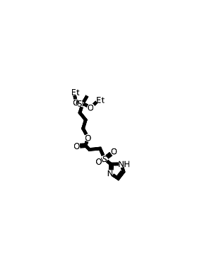 CCO[Si](C)(CCCOC(=O)CCS(=O)(=O)c1ncc[nH]1)OCC